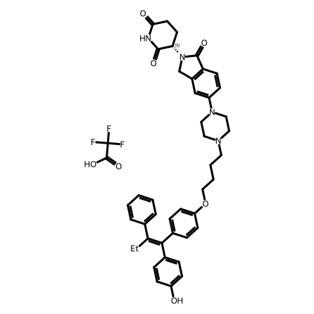 CCC(=C(c1ccc(O)cc1)c1ccc(OCCCCN2CCN(c3ccc4c(c3)CN([C@H]3CCC(=O)NC3=O)C4=O)CC2)cc1)c1ccccc1.O=C(O)C(F)(F)F